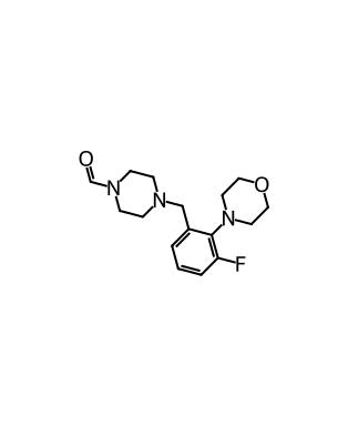 O=CN1CCN(Cc2cccc(F)c2N2CCOCC2)CC1